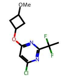 COC1CC(Oc2cc(Cl)nc(C(C)(F)F)n2)C1